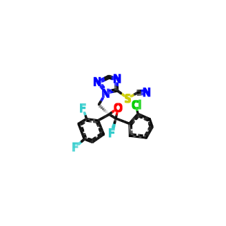 N#CSc1ncnn1C[C@]1(c2ccc(F)cc2F)O[C@]1(F)c1ccccc1Cl